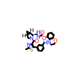 Cc1cccc(-c2sc(C)nc2C(=O)N2C[C@@H]3C[C@@H]3[C@H]2CNC(=O)Oc2cccc3c2NCCO3)c1